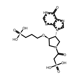 O=C(CP(=O)(O)O)N1C[C@@H](n2cnc3c(=O)[nH]cnc32)[C@H](OCCCP(=O)(O)O)C1